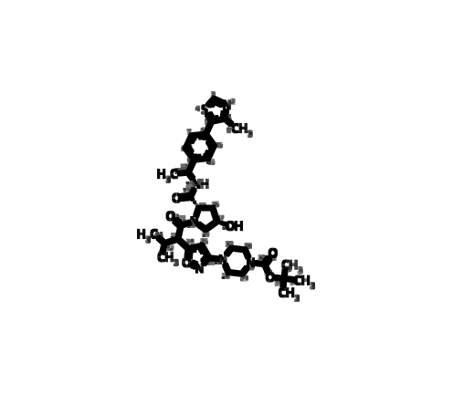 Cc1ncsc1-c1ccc(C(C)NC(=O)[C@@H]2C[C@@H](O)CN2C(=O)C(c2cc(N3CCN(C(=O)OC(C)(C)C)CC3)no2)C(C)C)cc1